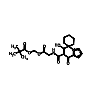 CC(C)(C)C(=O)OCOC(=O)CNC(=O)C1=C(O)C2(CCCCC2)n2cccc2C1=O